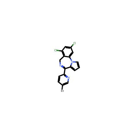 CCc1ccc(C2=NCc3c(Cl)cc(Cl)cc3-n3cccc32)nc1